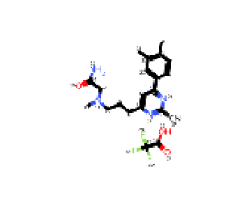 Cc1ccc(-c2cc(CCCN(C)CC(N)=O)nc(C#N)n2)cc1C.O=C(O)C(F)(F)F